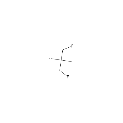 [CH2]C(C)(CF)CF